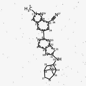 Cn1cc2cc(-c3ncc4nc(NC5CC6CCC(C5)N6)sc4n3)cc(C#N)c2n1